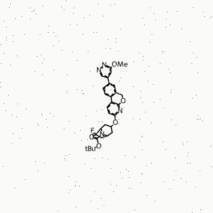 COc1cc(-c2ccc3c(c2)COc2nc(OC4CC5CC(F)(F)C(C4)N5C(=O)OC(C)(C)C)ccc2-3)cnn1